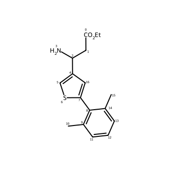 CCOC(=O)CC(N)c1csc(-c2c(C)cccc2C)c1